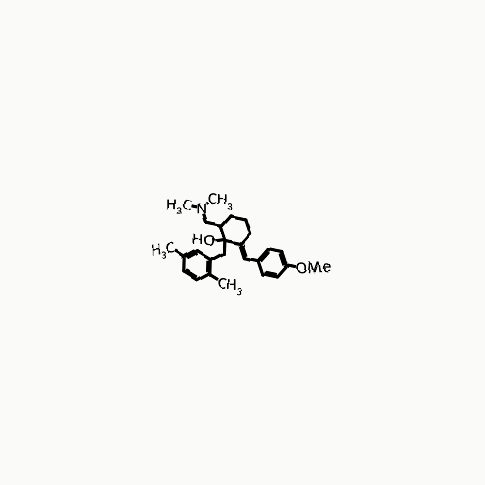 COc1ccc(/C=C2\CCCC(CN(C)C)C2(O)Cc2cc(C)ccc2C)cc1